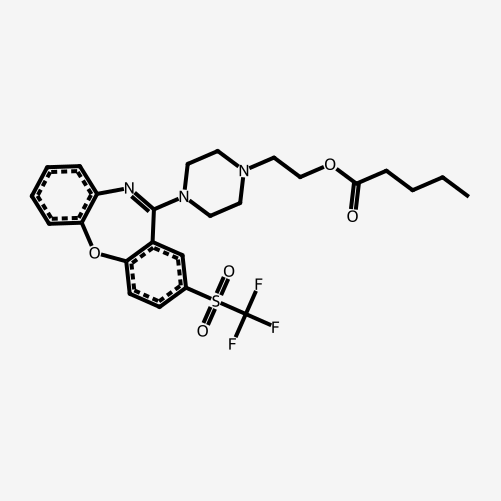 CCCCC(=O)OCCN1CCN(C2=Nc3ccccc3Oc3ccc(S(=O)(=O)C(F)(F)F)cc32)CC1